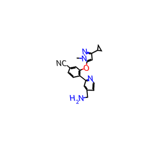 Cn1nc(C2CC2)cc1Oc1cc(C#N)ccc1-c1cc(CN)ccn1